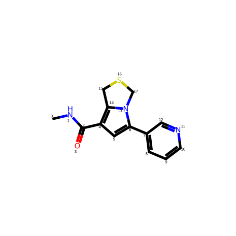 CNC(=O)c1cc(-c2cccnc2)n2c1CSC2